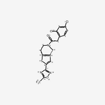 O=C(Cc1ccc(Cl)cc1Cl)N1CCc2sc(-c3noc(C(F)(F)F)n3)cc2C1